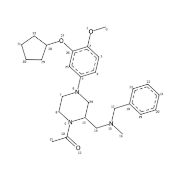 COc1ccc(N2CCN(C(C)=O)C(CN(C)Cc3ccccc3)C2)cc1OC1CCCC1